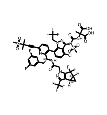 CC(NC(=O)N(c1nn(CC(F)(F)F)c2c(-c3ccc(C#CC(C)(C)S(C)(=O)=O)nc3[C@H](Cc3cc(F)cc(F)c3)NC(=O)Cn3nc(C(F)(F)F)c4c3C(F)(F)[C@@H]3C[C@H]43)ccc(Cl)c12)S(C)(=O)=O)(C(=O)O)C(=O)O